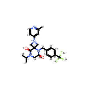 Cc1cc(N2CC3(C2)C(=O)N(C(C)C)CC(=O)N3Cc2ccc(C(F)(F)F)cc2)ccn1